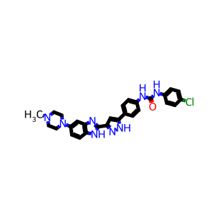 CN1CCN(c2ccc3[nH]c(-c4cc(-c5ccc(NC(=O)Nc6ccc(Cl)cc6)cc5)[nH]n4)nc3c2)CC1